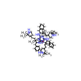 CC1(C)CC(CCC(C)(C)C(Cc2ccccc2)Nc2nc(NC(Cc3ccccc3)C(C)(C)CCC3CCNC(C)(C)C3)nc(NC(Cc3ccccc3)C(C)(C)CCC3CCNC(C)(C)C3)n2)CCN1